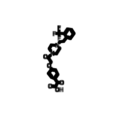 O=C(O)C(=O)c1ccc(OCC(=O)N2CCN(CCc3ccccc3C(F)(F)F)CC2)cc1